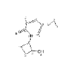 Cc1cc(C2CC2)cn(C2CCC2O)c1=O